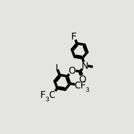 CN(C(=O)Oc1c(I)cc(C(F)(F)F)cc1C(F)(F)F)c1ccc(F)cc1